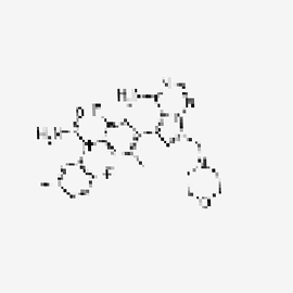 Cc1ccc(F)c(N(C(N)=O)c2cc(C)c(-c3cc(CN4CCOCC4)n4ncnc(N)c34)cc2F)c1